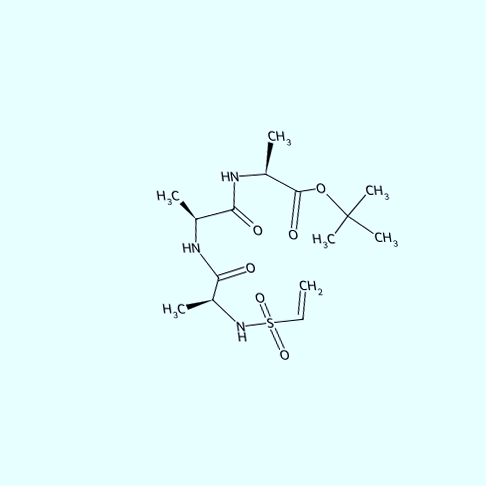 C=CS(=O)(=O)N[C@@H](C)C(=O)N[C@@H](C)C(=O)N[C@@H](C)C(=O)OC(C)(C)C